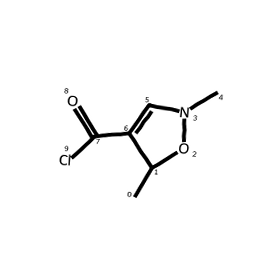 CC1ON(C)C=C1C(=O)Cl